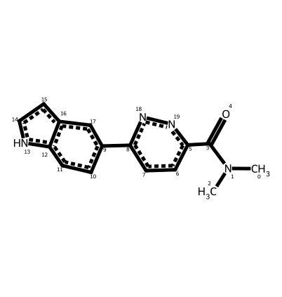 CN(C)C(=O)c1ccc(-c2ccc3[nH]ccc3c2)nn1